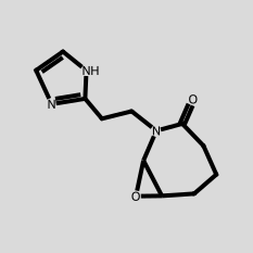 O=C1CCCC2OC2N1CCc1ncc[nH]1